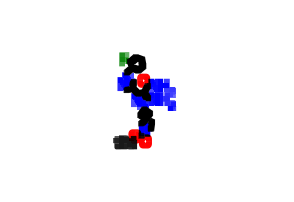 CC(C)(C)OC(=O)N1CC[C@]2(C1)C[C@H](n1nc(-c3cnn(Cc4ccccc4F)c3)c(C(N)=O)c1N)C2